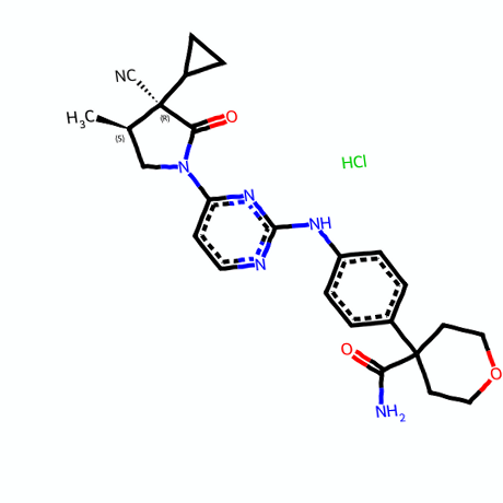 C[C@@H]1CN(c2ccnc(Nc3ccc(C4(C(N)=O)CCOCC4)cc3)n2)C(=O)[C@]1(C#N)C1CC1.Cl